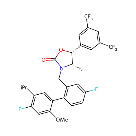 COc1cc(F)c(C(C)C)cc1-c1ccc(F)cc1CN1C(=O)O[C@H](c2cc(C(F)(F)F)cc(C(F)(F)F)c2)[C@@H]1C